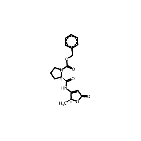 C[C@@H]1OC(=O)C=C1NC(=O)[C@@H]1CCCN1C(=O)OCc1ccccc1